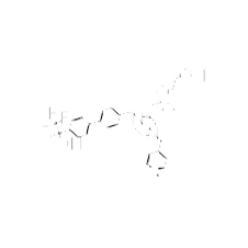 CC(O)(c1ccc(-c2ccc(CN3CCN(Cc4ccncc4)C[C@@H]3CC(=O)OCCO)cc2)cc1)C(F)(F)F